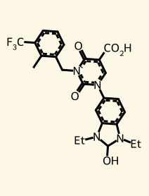 CCN1c2ccc(-n3cc(C(=O)O)c(=O)n(Cc4cccc(C(F)(F)F)c4C)c3=O)cc2N(CC)C1O